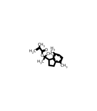 C=C(C)C(=O)OC(C)(C)C1CCc2c(C)ccc(C)c21